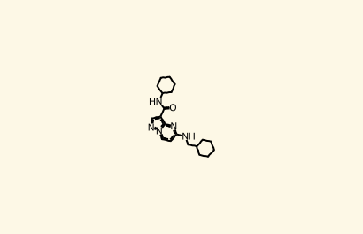 O=C(NC1CCCCC1)c1cnn2ccc(NCC3CCCCC3)nc12